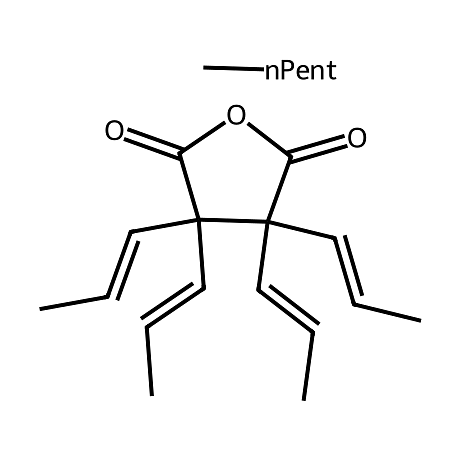 CC=CC1(C=CC)C(=O)OC(=O)C1(C=CC)C=CC.CCCCCC